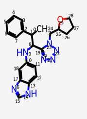 CC(c1ccccc1)C(Nc1ccc2[nH]cnc2c1)c1nnnn1CC1CCCO1